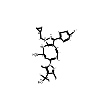 Cc1nn(-c2cc(N)[nH]c3c(ccn2)c(-c2ccc(F)cc2)nn3CC2CC2)c(C)c1C(C)(C)O